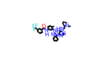 CCN1CCCC1CNc1cc(-n2c(Nc3cc(NC(=O)c4cccc(C(F)(F)F)c4)ccc3C)nc3ccccc32)ncn1